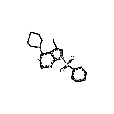 O=S(=O)(c1ccccc1)n1cc(I)c2c(N3CCCCC3)ncnc21